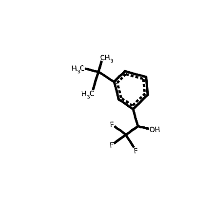 CC(C)(C)c1cccc(C(O)C(F)(F)F)c1